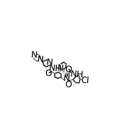 CN1CCN(c2ccc(NC(=O)c3ccc(CN4C(=O)c5ccc(Cl)cc5NC(=O)[C@H]4Cc4ccccn4)cc3)nc2)CC1